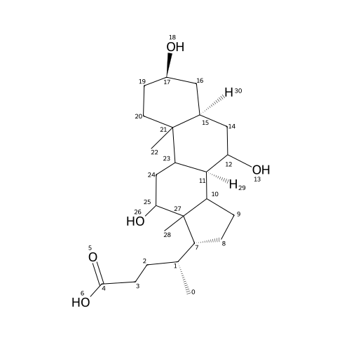 C[C@H](CCC(=O)O)[C@H]1CCC2[C@@H]3C(O)C[C@@H]4C[C@H](O)CCC4(C)C3CC(O)C21C